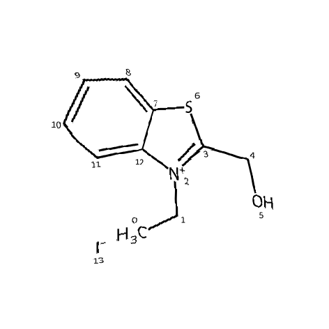 CC[n+]1c(CO)sc2ccccc21.[I-]